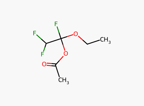 CCOC(F)(OC(C)=O)C(F)F